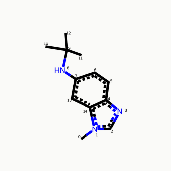 Cn1cnc2ccc(NC(C)(C)C)cc21